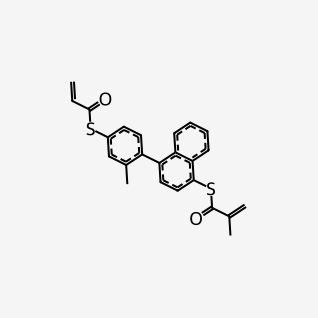 C=CC(=O)Sc1ccc(-c2ccc(SC(=O)C(=C)C)c3ccccc23)c(C)c1